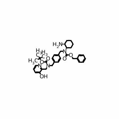 CC(C)(C)OC(=O)N(Cc1ccc(CN(C(=O)OCc2ccccc2)[C@@H]2CCCC[C@@H]2N)cc1)Cc1ncccc1O